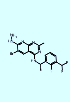 Cc1nc(N[C@H](C)c2cccc(C(F)F)c2F)c2cc(Br)c(NN)nc2n1